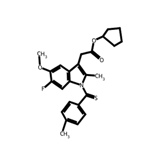 COc1cc2c(CC(=O)OC3CCCC3)c(C)n(C(=S)c3ccc(C)cc3)c2cc1F